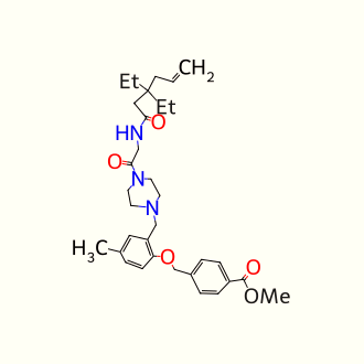 C=CCC(CC)(CC)CC(=O)NCC(=O)N1CCN(Cc2cc(C)ccc2OCc2ccc(C(=O)OC)cc2)CC1